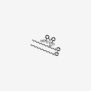 CCCCCCCCCCCCCCCC[n+]1ccccc1.CCCCCCCCCCCCCCCC[n+]1ccccc1.O=C(O)c1ccccc1Sc1ccccc1C(=O)O